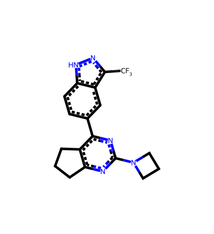 FC(F)(F)c1n[nH]c2ccc(-c3nc(N4CCC4)nc4c3CCC4)cc12